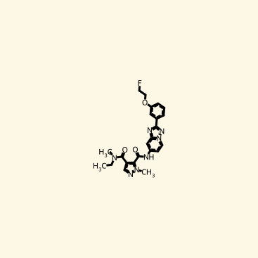 CCN(C)C(=O)c1cnn(C)c1C(=O)Nc1ccn2nc(-c3cccc(OCCF)c3)nc2c1